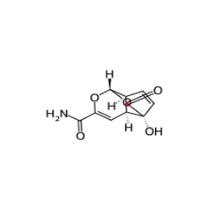 NC(=O)C1=C[C@H]2[C@@H]3C=C[C@]2(O)C(=O)O[C@@H]3O1